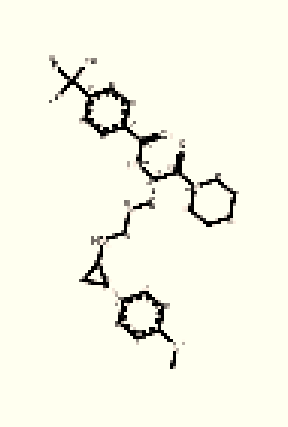 COc1ccc([C@@H]2CC2NCSC[C@H](NC(=O)c2ccc(C(F)(F)F)cc2)C(=O)N2CCCCC2)cc1